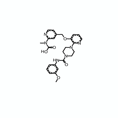 COc1cccc(NC(=O)N2CCN(c3ncccc3OCc3ccnc(N(C)C(=O)O)c3)CC2)c1